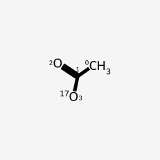 CC(=O)[17O]